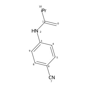 C=C(Nc1ccc(C#N)cc1)C(C)C